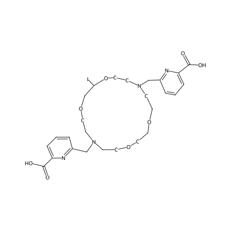 O=C(O)c1cccc(CN2CCOCCOCCN(Cc3cccc(C(=O)O)n3)CCOC(I)COCC2)n1